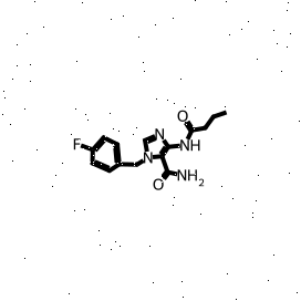 CCCC(=O)Nc1ncn(Cc2ccc(F)cc2)c1C(N)=O